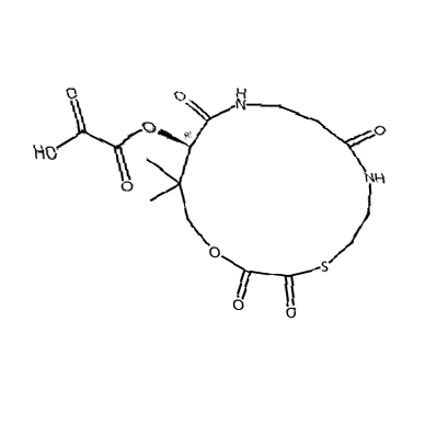 CC1(C)COC(=O)C(=O)SCCNC(=O)CCNC(=O)[C@@H]1OC(=O)C(=O)O